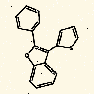 c1ccc(-c2oc3ccccc3c2-c2cccs2)cc1